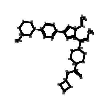 C=Nn1cc(-c2ccc([C@H]3CCCN(C(C)C)C3)cn2)cc1/C(=C\C)N1CCN(C(=O)OC2COC2)CC1